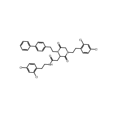 O=C(CC1C(=O)N(CCc2ccc(Cl)cc2Cl)CC(=O)N1CCc1ccc(-c2ccccc2)cc1)NCCc1ccc(Cl)cc1Cl